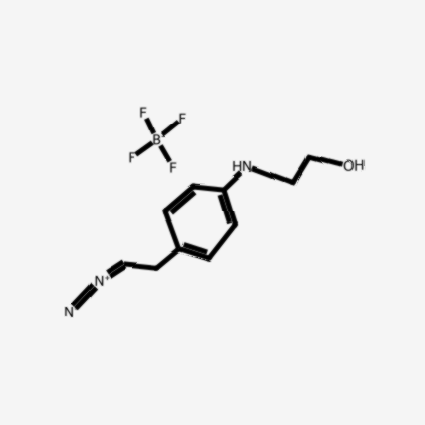 F[B-](F)(F)F.[N-]=[N+]=CCc1ccc(NCCO)cc1